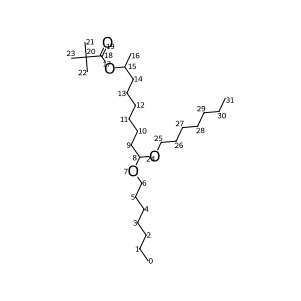 CCCCCCCOC(CCCCCCC(C)OC(=O)C(C)(C)C)OCCCCCCC